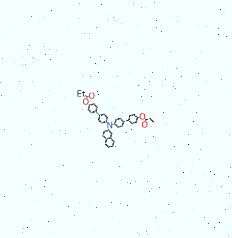 C=CC(=O)Oc1ccc(-c2ccc(N(c3ccc(-c4ccc(OC(=O)CC)cc4)cc3)c3ccc4ccccc4c3)cc2)cc1